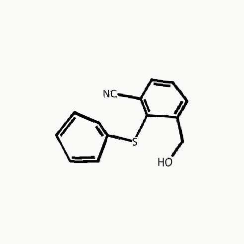 N#Cc1cccc(CO)c1Sc1ccccc1